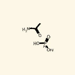 CC(N)=O.O=[PH](O)O